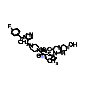 C/C=C(\S[C@@]1(N2C[C@@H]3C[C@@H](O)CN3C[C@@H]2C)C=CC1)S(=O)(=O)N1CCN(Cc2cncn2[C@H](C)c2ccc(F)cc2)CC1